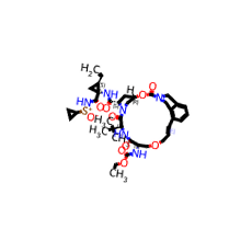 C=C[C@@H]1C[C@]1(NC(=O)[C@@H]1C[C@@H]2CN1C(=O)[C@H](C(C)(C)C)NC(=O)[C@@H](NC(=O)OCC)COC/C=C/c1cccc3c1CN(C3)C(=O)O2)C(=O)N[S+]([O-])C1CC1